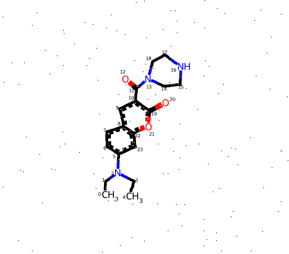 CCN(CC)c1ccc2cc(C(=O)N3CCNCC3)c(=O)oc2c1